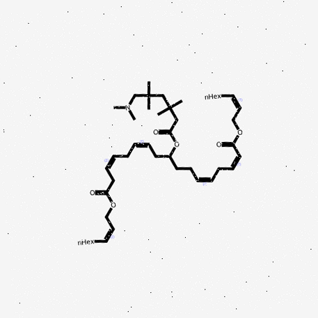 CCCCCC/C=C\COC(=O)/C=C\C/C=C\CCC(C/C=C\C/C=C\CC(=O)OC/C=C\CCCCCC)OC(=O)CC(C)(C)CC(C)(C)CN(C)C